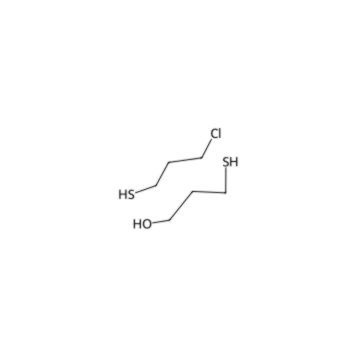 OCCCS.SCCCCl